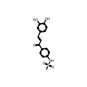 CS(=O)(=O)Nc1ccc(C(=O)/C=C/c2ccc(O)c(O)c2)cc1